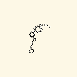 CC1(c2cccc(OCCCN3CCCCC3)c2)CCSC(N)=N1